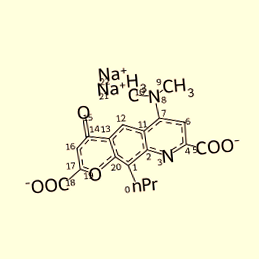 CCCc1c2nc(C(=O)[O-])cc(N(C)C)c2cc2c(=O)cc(C(=O)[O-])oc12.[Na+].[Na+]